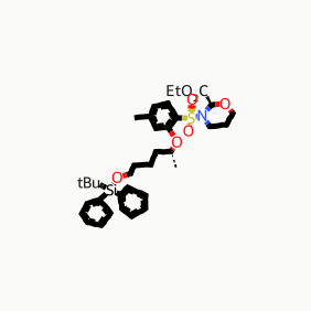 CCOC(=O)[C@H]1OCCCN1S(=O)(=O)c1ccc(C)cc1O[C@H](C)CCCCO[Si](c1ccccc1)(c1ccccc1)C(C)(C)C